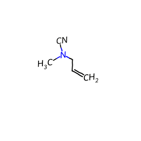 C=CCN(C)C#N